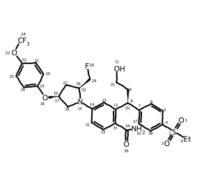 CCS(=O)(=O)c1ccc([C@H](CCO)c2cc(N3C[C@@H](Oc4ccc(OC(F)(F)F)cc4)C[C@H]3CF)ccc2C(N)=O)cc1